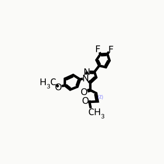 COc1ccc(-n2nc(-c3ccc(F)c(F)c3)cc2C(=O)/C=C\C(C)=O)cc1